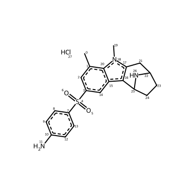 Cc1cc(S(=O)(=O)c2ccc(N)cc2)cc2c3c(n(C)c12)CC1CCC3N1.Cl